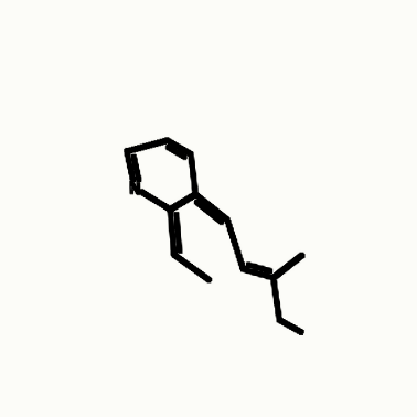 C/C=c1/nccc/c1=C/C=C(\C)CC